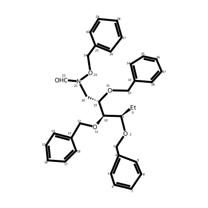 CC[C@@H](OCc1ccccc1)[C@@H](OCc1ccccc1)[C@H](CN(C=O)OCc1ccccc1)OCc1ccccc1